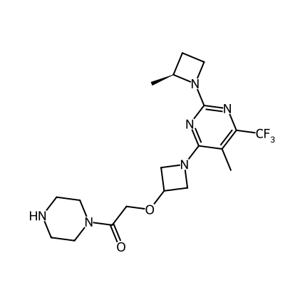 Cc1c(N2CC(OCC(=O)N3CCNCC3)C2)nc(N2CC[C@@H]2C)nc1C(F)(F)F